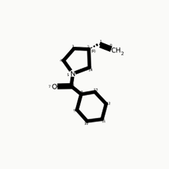 C=C[C@H]1CCN(C(=O)C2CCCCC2)C1